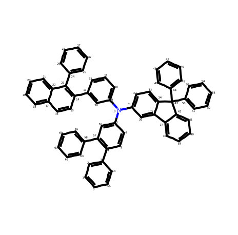 c1ccc(-c2ccc(N(c3cccc(-c4ccc5ccccc5c4-c4ccccc4)c3)c3ccc4c(c3)-c3ccccc3C4(c3ccccc3)c3ccccc3)cc2-c2ccccc2)cc1